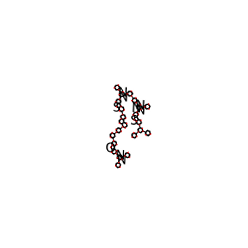 c1ccc(-c2cc(-c3ccccc3)cc(-c3ccc4c(c3)sc3ccc(-c5nc(-c6ccccc6)nc(-c6ccc(-c7cccc(-c8nc(-c9ccccc9)cc(-c9ccc%10sc%11cc(-c%12ccc%13c(ccc%14c(-c%15ccc(-c%16cccc(-c%17ccc%18c(c%17)oc%17ccc(-c%19cc(-c%20ccccc%20)nc(-c%20ccccc%20)n%19)cc%17%18)c%16)cc%15)cccc%14%13)c%12)ccc%11c%10c9)n8)c7)cc6)n5)cc34)c2)cc1